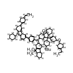 C=CC1=CCC(OC2CC=C(C3(C4CCC(C(C)(C)C)CC4)C4CCCCC4C4(C)CCC(N(c5ccc(C6=CC7C8=CC(C9=CCC(C=C)CC9)CCC8N(C8CCCCC8)C7C=C6)cc5)C5CCC6=C(C5)C(C)(C)C5CCCCC65)CC43)CC2)CC1